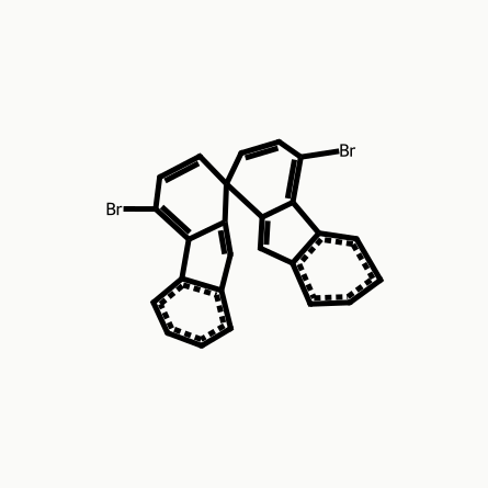 BrC1=C2C(=Cc3ccccc32)C2(C=C1)C=CC(Br)=C1C2=Cc2ccccc21